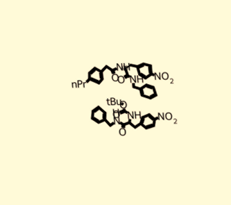 CC(C)(C)OC(=O)NC(Cc1ccc([N+](=O)[O-])cc1)C(=O)NCc1ccccc1.CCCc1ccc(CC(=O)N[C@@H](Cc2ccc([N+](=O)[O-])cc2)C(=O)NCc2ccccc2)cc1